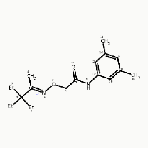 CCC(CC)(CC)/C(C)=N/OCC(=O)Nc1cc(C)cc(C)c1